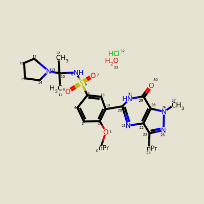 CCCOc1ccc(S(=O)(=O)NC(C)(C)N2CCCC2)cc1-c1nc2c(CCC)nn(C)c2c(=O)[nH]1.Cl.O